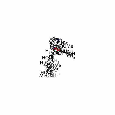 C#C/C=C\C#C[C@H](OC1OC(C)C(NOC2CC(O)C(SC(=O)c3c(C)c(I)c(OC4OC(C)C(O)C(OC)C4O)c(OC)c3OC)C(C)O2)C(O)C1OC1CC(OC)C(N(CC)C(C)=O)CO1)C1=C(NC(=O)OC)C(=O)CO/C1=C/CSCC(=O)NCCC[Si](C)(C)O